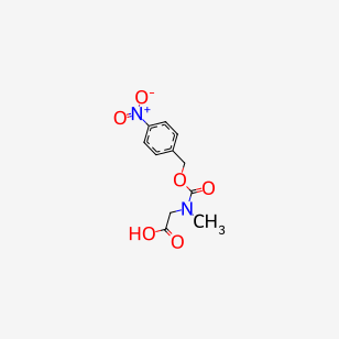 CN(CC(=O)O)C(=O)OCc1ccc([N+](=O)[O-])cc1